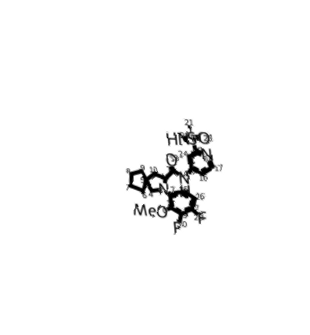 COc1c(N2CC3(CCCC3)CC2C(=O)Nc2ccnc([S@](C)(=N)=O)c2)ccc(F)c1F